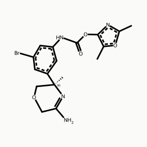 Cc1nc(OC(=O)Nc2cc(Br)cc([C@]3(C)COCC(N)=N3)c2)c(C)o1